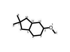 COC1CCC2CC(C)(C)CC2C1